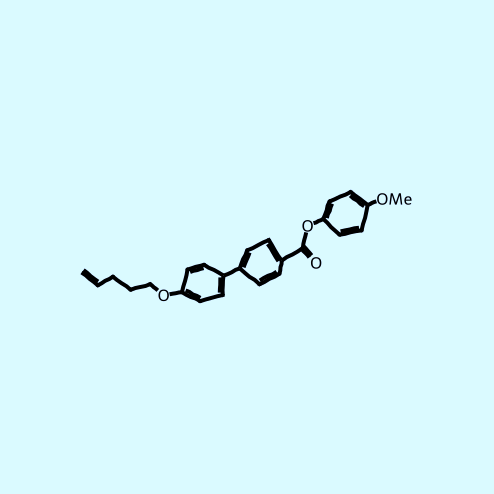 C=CCCCOc1ccc(-c2ccc(C(=O)Oc3ccc(OC)cc3)cc2)cc1